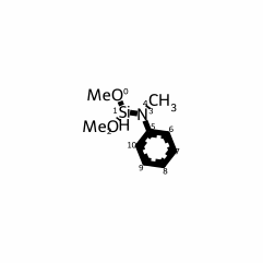 CO[SiH](OC)N(C)c1ccccc1